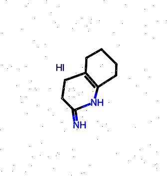 I.N=C1CCC2=C(CCCC2)N1